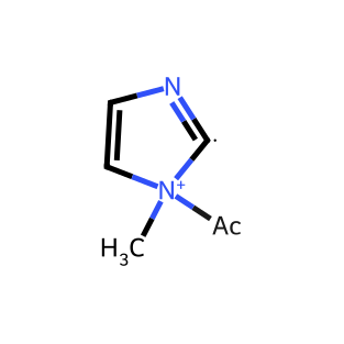 CC(=O)[N+]1(C)[C]=NC=C1